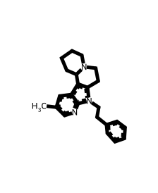 Cc1cnc2c(c1)c1c(n2CCc2ccccc2)CCN2CCCCC12